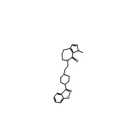 Cn1ncc2c1C(=O)N(CCN1CCC(c3noc4ccccc34)CC1)CCC2